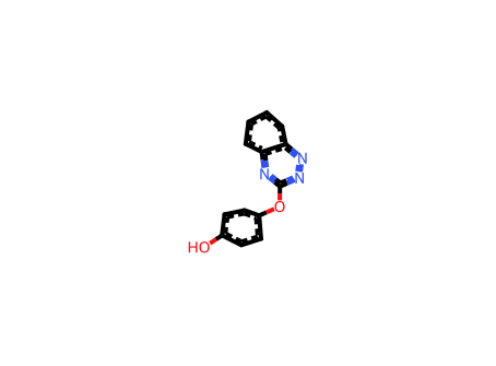 Oc1ccc(Oc2nnc3ccccc3n2)cc1